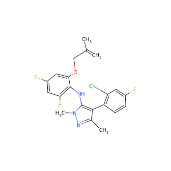 C=C(C)COc1cc(F)cc(F)c1Nc1c(-c2ccc(F)cc2Cl)c(C)nn1C